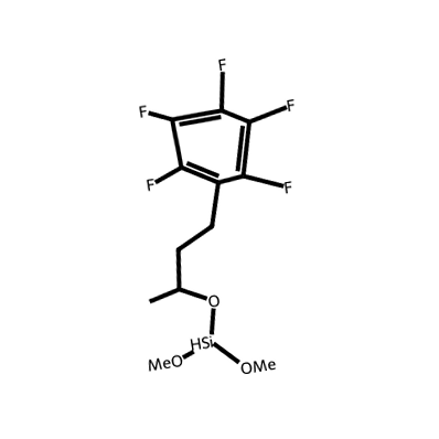 CO[SiH](OC)OC(C)CCc1c(F)c(F)c(F)c(F)c1F